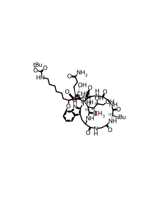 CC[C@H](C)[C@@H]1NC(=O)CNC(=O)C2Cc3c4[nH]c5cc(ccc35)OC(CCCCCCNC(=O)OC(C)(C)C)(C(=O)[C@H](CCC(N)=O)NC(=O)C(CS4)NC(=O)CNC1=O)N1C[C@H](O)C[C@]1(C=O)N[C@@H]([C@@H](C)[C@@H](O)CO)C(=O)N2